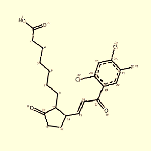 O=C(O)CCCCCCC1C(=O)CCC1/C=C/C(=O)c1cc(F)c(Cl)cc1Cl